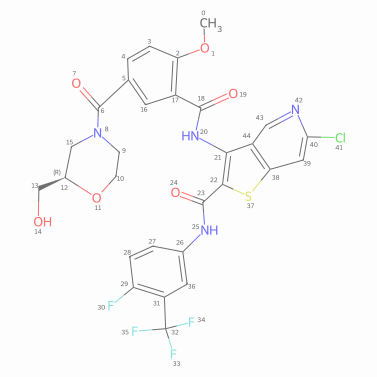 COc1ccc(C(=O)N2CCO[C@@H](CO)C2)cc1C(=O)Nc1c(C(=O)Nc2ccc(F)c(C(F)(F)F)c2)sc2cc(Cl)ncc12